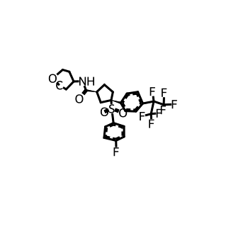 O=C(NC1CCOCC1)[C@H]1CC[C@](c2ccc(C(F)(C(F)(F)F)C(F)(F)F)cc2)(S(=O)(=O)c2ccc(F)cc2)C1